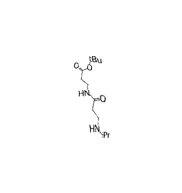 CC(C)NCCC(=O)NCCC(=O)OC(C)(C)C